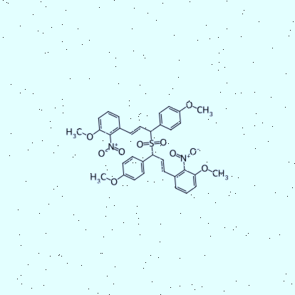 COc1ccc(C(C=Cc2cccc(OC)c2[N+](=O)[O-])S(=O)(=O)C(C=Cc2cccc(OC)c2[N+](=O)[O-])c2ccc(OC)cc2)cc1